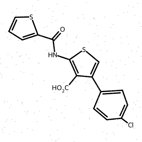 O=C(Nc1scc(-c2ccc(Cl)cc2)c1C(=O)O)c1cccs1